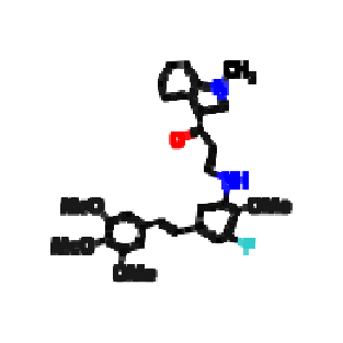 COc1cc(C=Cc2cc(F)c(OC)c(NC=CC(=O)c3cn(C)c4ccccc34)c2)cc(OC)c1OC